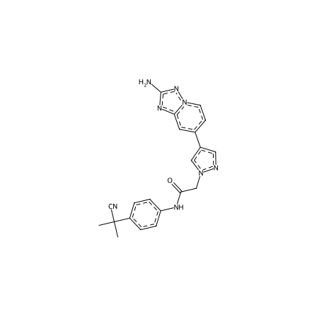 CC(C)(C#N)c1ccc(NC(=O)Cn2cc(-c3ccn4nc(N)nc4c3)cn2)cc1